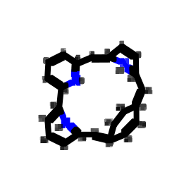 C1=C/C2=C/c3cccc(n3)-c3cccc(n3)/C=C3C=C/C(=C/C1=N2)CC/3